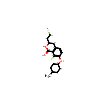 CC1CCC(Oc2ccc3c(c2F)C(=O)OC(CCF)C3)CC1